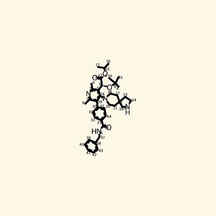 Cc1nc(C)c([C@H](OC(C)(C)C)C(=O)OC(C)C)c(N2CCC3(CCNC3)CC2)c1-c1ccc(C(=O)NCc2ccccc2)cc1